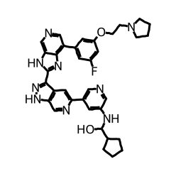 OC(Nc1cncc(-c2cc3c(-c4nc5c(-c6cc(F)cc(OCCN7CCCC7)c6)cncc5[nH]4)n[nH]c3cn2)c1)C1CCCC1